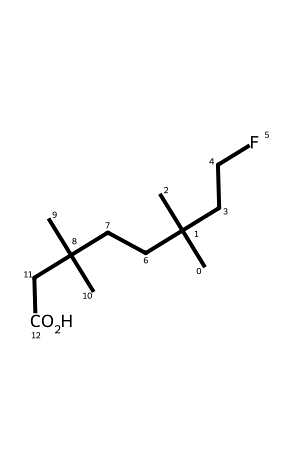 CC(C)(CCF)CCC(C)(C)CC(=O)O